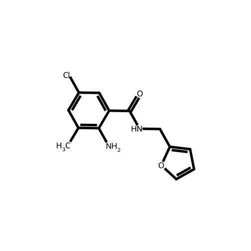 Cc1cc(Cl)cc(C(=O)NCc2ccco2)c1N